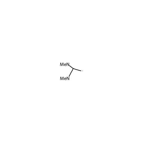 [CH2]C(NC)NC